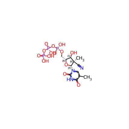 Cc1cn([C@@H]2O[C@H](COP(=O)(O)OP(=O)(O)OP(=O)(O)O)[C@@H](O)[C@@]2(C)C#N)c(=O)[nH]c1=O